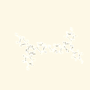 Cc1ccc(-c2nc(-c3ccc(C)cc3)nc(-c3ccc(C=Cc4ccc(-c5nc(-c6ccc(C)cc6)nc(-c6ccc(C)cc6)n5)cc4)cc3)n2)cc1